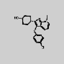 Cn1cccc2c(Sc3ccc(Cl)cc3)c([C@H]3CC[C@H](O)CC3)nc1-2